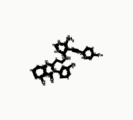 CCc1cccc(-n2c(CCNc3ncnc(N)c3C#Cc3ccc(F)cn3)nc3cccc(Cl)c3c2=O)c1